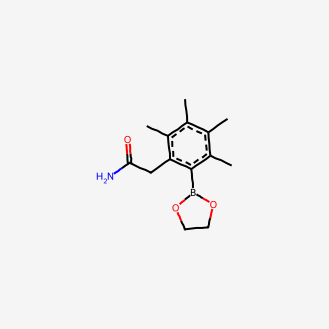 Cc1c(C)c(C)c(B2OCCO2)c(CC(N)=O)c1C